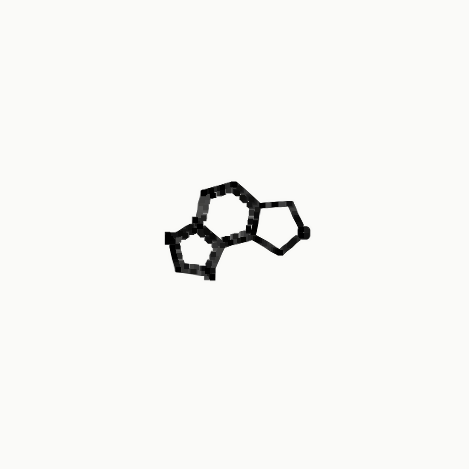 c1nc2c3c(ccn2n1)COC3